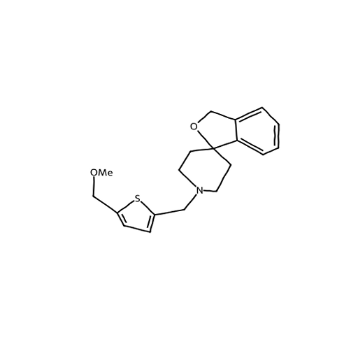 COCc1ccc(CN2CCC3(CC2)OCc2ccccc23)s1